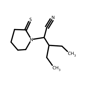 CCC(CC)C(C#N)N1CCCCC1=S